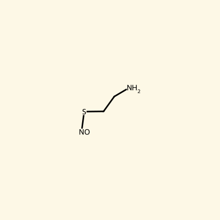 NCCSN=O